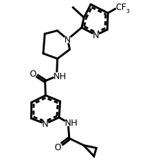 Cc1cc(C(F)(F)F)cnc1N1CCCC(NC(=O)c2ccnc(NC(=O)C3CC3)c2)C1